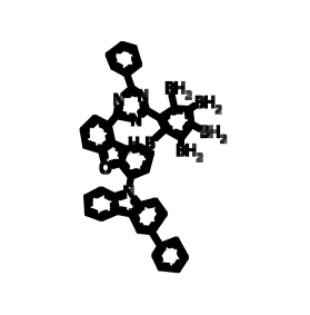 Bc1c(B)c(B)c(-c2nc(-c3ccccc3)nc(-c3cccc4oc5c(-n6c7ccccc7c7cc(-c8ccccc8)ccc76)cccc5c34)n2)c(B)c1B